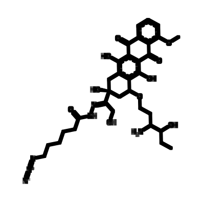 CCC(O)C(N)CCOC1C[C@](O)(/C(CO)=N/NC(=O)CCCCCN=[N+]=[N-])Cc2c(O)c3c(c(O)c21)C(=O)c1c(OC)cccc1C3=O